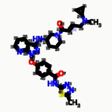 Cc1nnc(NC(=O)c2ccc(On3nc(N[C@@H]4CCCN(C(=O)/C=C/CN(C)C5CC5)C4)c4cccnc43)cc2)s1